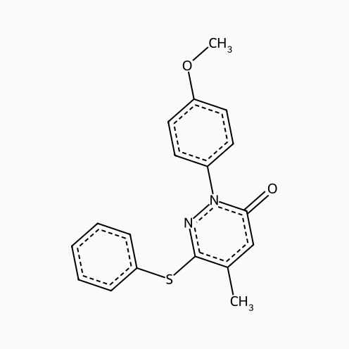 COc1ccc(-n2nc(Sc3ccccc3)c(C)cc2=O)cc1